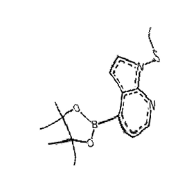 CC1(C)OB(c2ccnc3c2ccn3SI)OC1(C)C